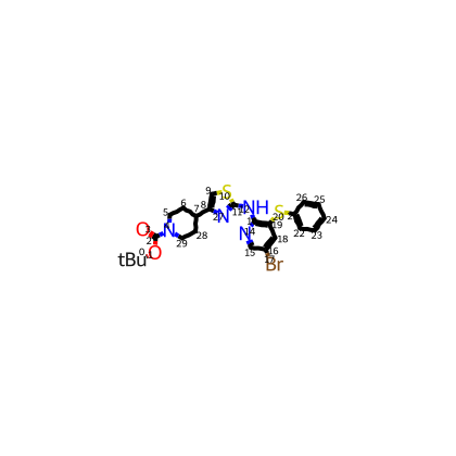 CC(C)(C)OC(=O)N1CCC(c2csc(Nc3ncc(Br)cc3Sc3ccccc3)n2)CC1